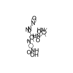 Cc1cc(C)c(CNC(=O)c2cc(-c3cnn(CCN4CCOCC4)c3)cc(N(C)[C@H]3CC[C@H](NC(=O)O)CC3)c2C)c(=O)[nH]1